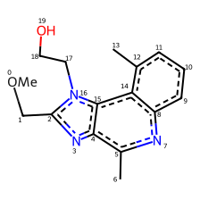 COCc1nc2c(C)nc3cccc(C)c3c2n1CCO